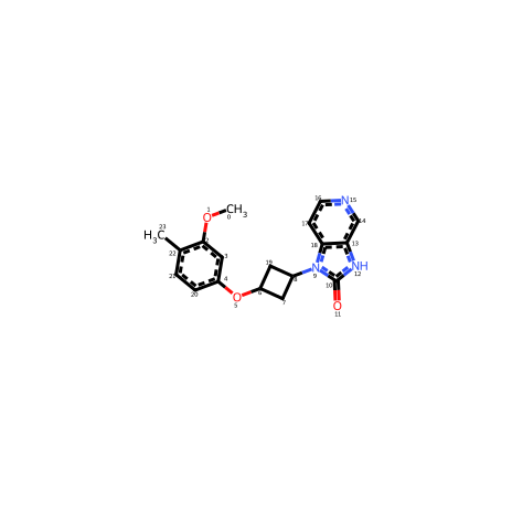 COc1cc(OC2CC(n3c(=O)[nH]c4cnccc43)C2)ccc1C